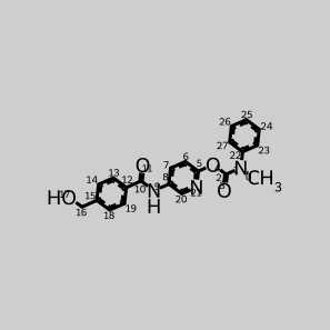 CN(C(=O)Oc1ccc(NC(=O)c2ccc(CO)cc2)cn1)c1ccccc1